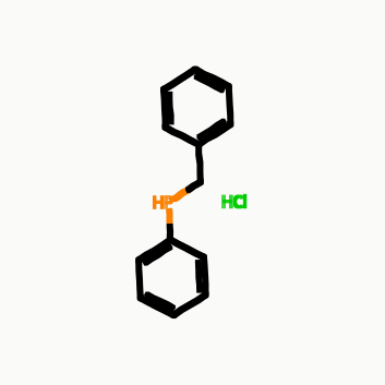 Cl.c1ccc(CPc2ccccc2)cc1